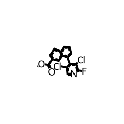 COC(=O)c1ccc2cccc(-c3c(Cl)cnc(F)c3Cl)c2c1